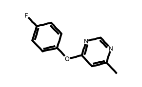 Cc1cc(Oc2ccc(F)cc2)ncn1